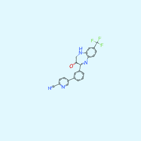 N#Cc1ccc(-c2cccc(C3=Nc4ccc(C(F)(F)F)cc4NCC3=O)c2)cn1